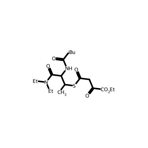 CCOC(=O)C(=O)CC(=O)SC(C)C(NC(=O)C(C)CC)C(=O)N(CC)CC